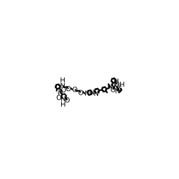 Cc1cc(-c2ccc(N3CCN(CCOCCOCCOCCNc4cccc(C)c4C(=O)N(C)C4CCC(=O)NC4=O)CC3)nc2)ccc1CN(C)C(C(=O)Nc1nccs1)c1ccccc1O